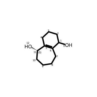 OC1CCCC2=C1CCCC[C@@H]2O